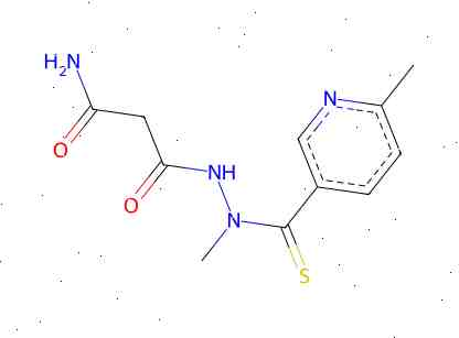 Cc1ccc(C(=S)N(C)NC(=O)CC(N)=O)cn1